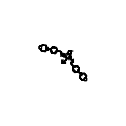 CCc1n(/N=C/c2ccc(N3CCOCC3)cc2)cc[n+]1/N=C/c1ccc(N2CCOCC2)cc1.[Cl-]